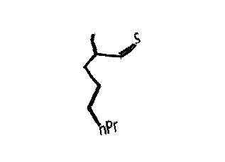 CCCCCCC(C)[C]=S